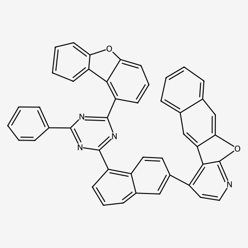 c1ccc(-c2nc(-c3cccc4cc(-c5ccnc6oc7cc8ccccc8cc7c56)ccc34)nc(-c3cccc4oc5ccccc5c34)n2)cc1